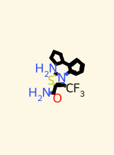 NC(=O)C1=C(C(F)(F)F)N(c2ccccc2C2CCCC2)C(N)S1